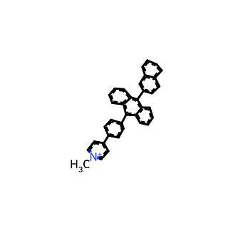 C[n+]1ccc(-c2ccc(-c3c4ccccc4c(-c4ccc5ccccc5c4)c4ccccc34)cc2)cc1